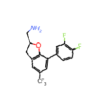 NCC1Cc2cc(C(F)(F)F)cc(-c3ccc(F)c(F)c3)c2O1